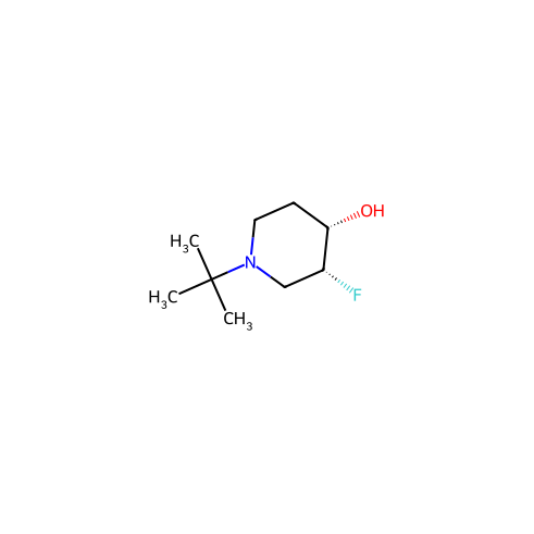 CC(C)(C)N1CC[C@H](O)[C@H](F)C1